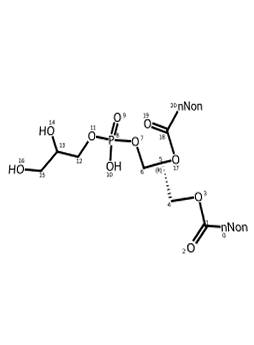 CCCCCCCCCC(=O)OC[C@H](COP(=O)(O)OCC(O)CO)OC(=O)CCCCCCCCC